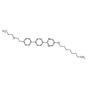 CCCCCCCCOc1cnc(-c2ccc(-c3ccc(CCOCCC)cc3)cc2)nc1